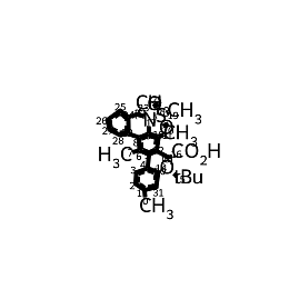 Cc1ccc(-c2c(C)c3c(c(C)c2[C@H](OC(C)(C)C)C(=O)O)N(S(C)(=O)=O)[C@@H](C)c2ccccc2-3)cc1